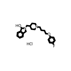 Cl.OC1c2ccccc2CN1CC1CCN(CCCCOc2ccc(F)cc2)CC1